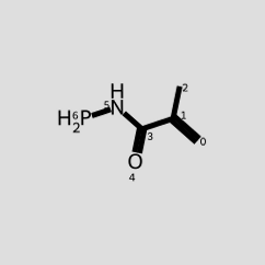 C=C(C)C(=O)NP